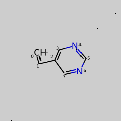 [CH]=Cc1cncnc1